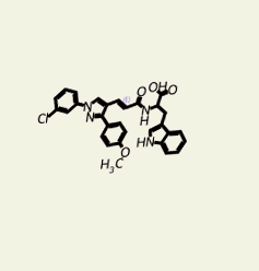 COc1ccc(-c2nn(-c3cccc(Cl)c3)cc2/C=C/C(=O)NC(Cc2c[nH]c3ccccc23)C(=O)O)cc1